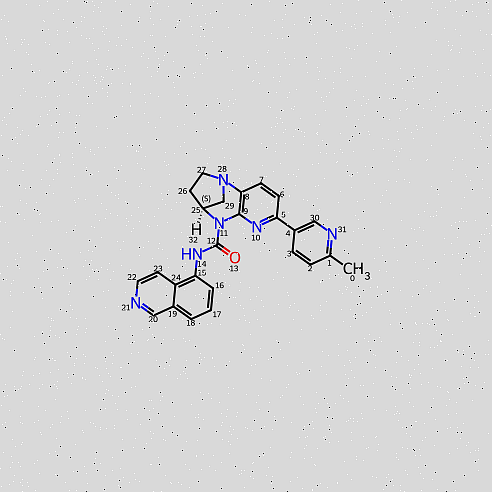 Cc1ccc(-c2ccc3c(n2)N(C(=O)Nc2cccc4cnccc24)[C@H]2CCN3C2)cn1